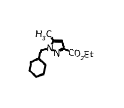 CCOC(=O)c1cc(C)n(CC2CCCCC2)n1